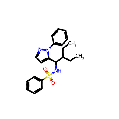 CCC(CC)C(NS(=O)(=O)c1ccccc1)c1ccnn1-c1ccccc1